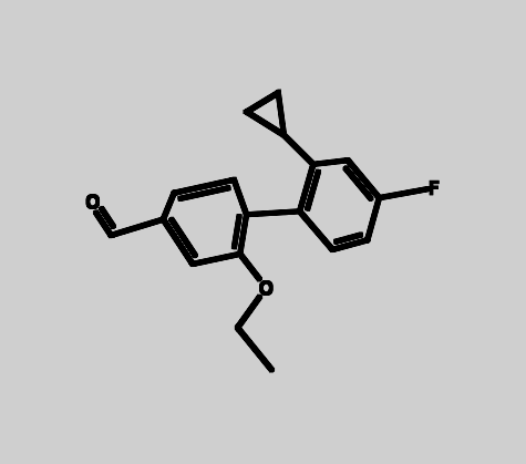 CCOc1cc(C=O)ccc1-c1ccc(F)cc1C1CC1